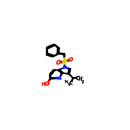 CC(C)c1cn(S(=O)(=O)Cc2ccccc2)c2ccc(O)nc12